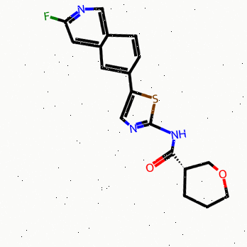 O=C(Nc1ncc(-c2ccc3cnc(F)cc3c2)s1)[C@H]1CCCOC1